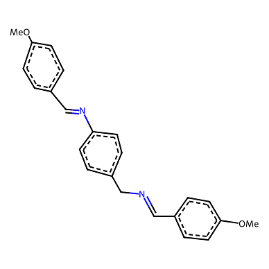 COc1ccc(/C=N/Cc2ccc(/N=C/c3ccc(OC)cc3)cc2)cc1